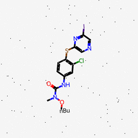 CCCCON(C)C(=O)Nc1ccc(Sc2cncc(I)n2)c(Cl)c1